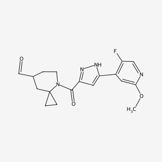 COc1cc(-c2cc(C(=O)N3CCC(C=O)CC34CC4)n[nH]2)c(F)cn1